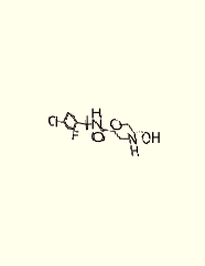 CC(C)(NC(=O)[C@@H]1CN[C@@H](CO)CO1)c1ccc(Cl)cc1F